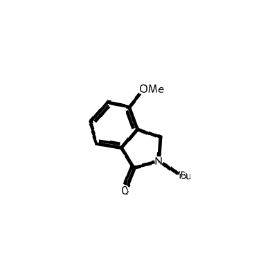 CCC(C)N1Cc2c(OC)cccc2C1=O